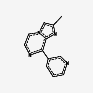 Cc1cn2ccnc(-c3cccnc3)c2n1